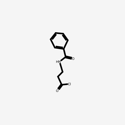 O=C(Cl)CCNC(=O)c1ccccc1